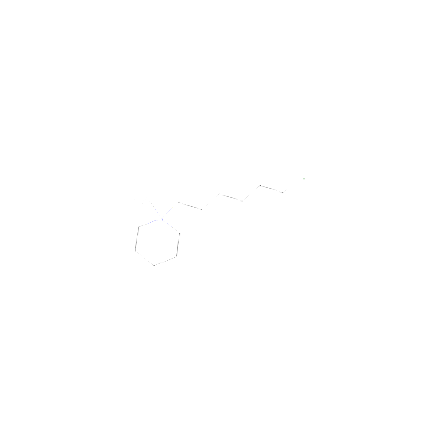 C[N+]1(CCCCCCBr)CCCCC1